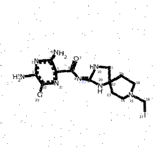 Nc1nc(N)c(C(=O)/N=C2\NCC3(CCN(CI)CC3)N2)nc1Cl